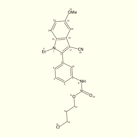 CCn1c(-c2cccc(NC(=O)OCCCCl)c2)c(C#N)c2cc(OC)ccc21